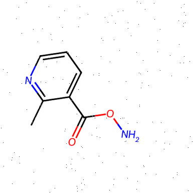 Cc1ncccc1C(=O)ON